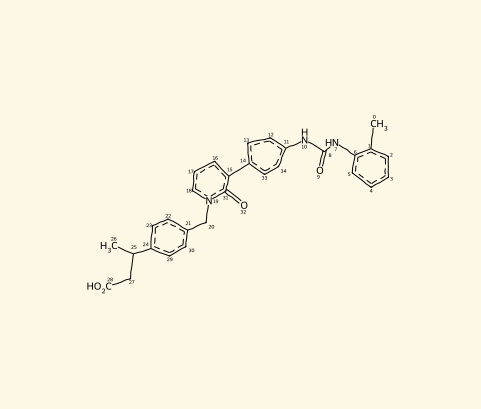 Cc1ccccc1NC(=O)Nc1ccc(-c2cccn(Cc3ccc(C(C)CC(=O)O)cc3)c2=O)cc1